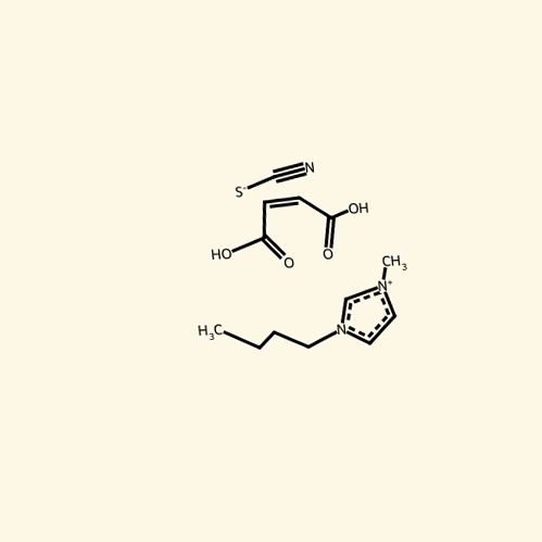 CCCCn1cc[n+](C)c1.N#C[S-].O=C(O)/C=C\C(=O)O